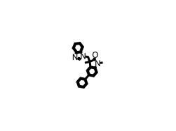 CN1C(=O)C(C)(Cn2cnc3ccccc32)c2cc(-c3ccccc3)ccc21